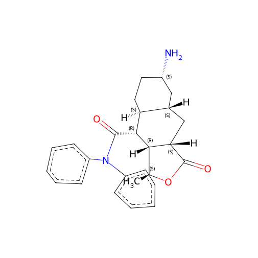 C[C@@H]1OC(=O)[C@H]2C[C@H]3C[C@@H](N)CC[C@@H]3[C@@H](C(=O)N(c3ccccc3)c3ccccc3)[C@@H]12